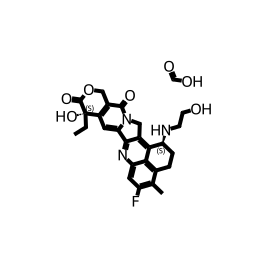 CC[C@@]1(O)C(=O)OCc2c1cc1n(c2=O)Cc2c-1nc1cc(F)c(C)c3c1c2[C@@H](NCCO)CC3.O=CO